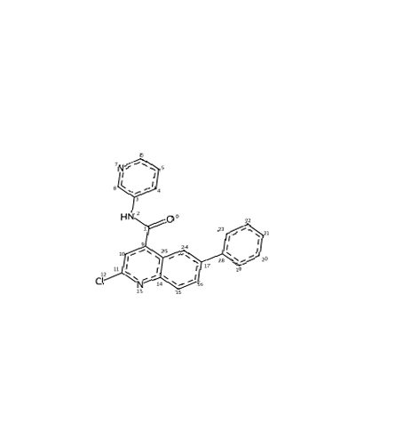 O=C(Nc1cccnc1)c1cc(Cl)nc2ccc(-c3ccccc3)cc12